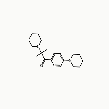 CC(C)(C(=O)c1ccc(N2CCCCC2)cc1)N1CCCCC1